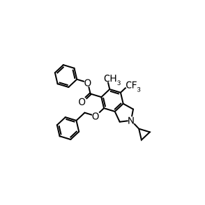 Cc1c(C(=O)Oc2ccccc2)c(OCc2ccccc2)c2c(c1C(F)(F)F)CN(C1CC1)C2